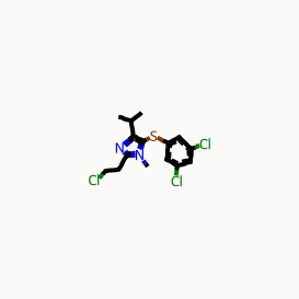 CC(C)c1nc(CCCl)n(C)c1Sc1cc(Cl)cc(Cl)c1